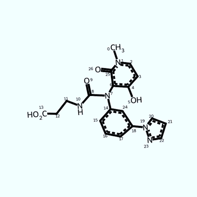 Cn1ccc(O)c(N(C(=O)NCCC(=O)O)c2cccc(-n3cccn3)c2)c1=O